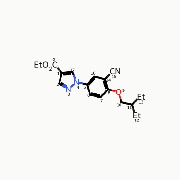 CCOC(=O)c1cnn(-c2ccc(OCC(CC)CC)c(C#N)c2)c1